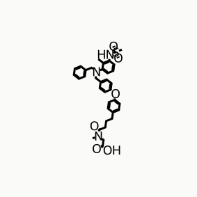 Cc1c(NS(C)(=O)=O)cccc1N(Cc1ccccc1)Cc1ccc(Oc2ccc(CCCC(=O)N(C)CC(=O)O)cc2)cc1